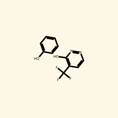 Oc1ccccc1.Oc1nnccc1C(F)(F)F